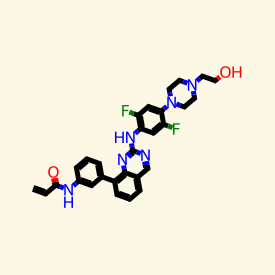 C=CC(=O)Nc1cccc(-c2cccc3cnc(Nc4cc(F)c(N5CCN(CCO)CC5)cc4F)nc23)c1